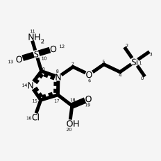 C[Si](C)(C)CCOCn1c(S(N)(=O)=O)nc(Cl)c1C(=O)O